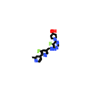 Cc1cc(-c2ncc(CNc3ncnc(N4CCC(O)CC4)c3F)cc2F)ccn1